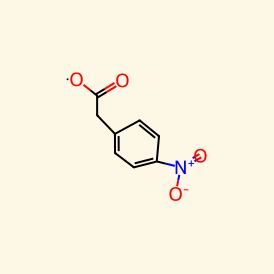 [O]C(=O)Cc1ccc([N+](=O)[O-])cc1